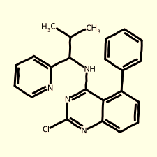 CC(C)C(Nc1nc(Cl)nc2cccc(-c3ccccc3)c12)c1ccccn1